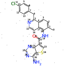 Cc1ccc2c(Cc3ccc(Cl)cc3)nccc2c1NC(=O)c1csc2c(N)ncnc12